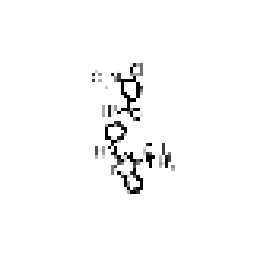 CN(C)c1nc(N[C@H]2CC[C@@H](NC(=O)c3ccc(Cl)c([N+](=O)[O-])c3)CC2)nc2ccccc12